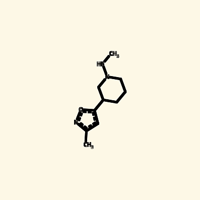 CBN1CCCC(c2cc(C)no2)C1